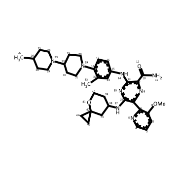 COc1cccnc1-c1nc(C(N)=O)c(Nc2ccc(N3CCC(N4CCC(C)CC4)CC3)c(C)c2)nc1NC1CCOC2(CC2)C1